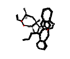 C=CCO[C@H](c1ccnc2ccccc12)[C@H]1C[C@@H]2CC[N@@+]1(Cc1c3ccccc3cc3ccccc13)CC2C=C